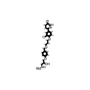 CC(C)(C)NCC(O)COc1ccc(COCCCOc2ccc(C3=NNC(=O)CC3)cc2Cl)cc1